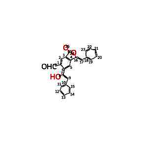 O=Cc1cc2c(cc1/C(O)=C/c1ccccc1)/C(=C/c1ccccc1)OC2=O